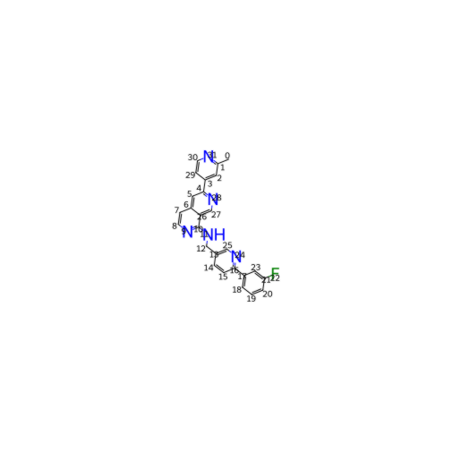 Cc1cc(-c2cc3ccnc(NCc4ccc(-c5cccc(F)c5)nc4)c3cn2)ccn1